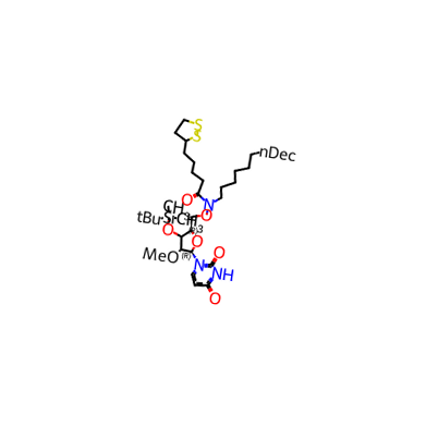 CCCCCCCCCCCCCCCCN(OC[C@H]1O[C@@H](n2ccc(=O)[nH]c2=O)C(OC)C1O[Si](C)(C)C(C)(C)C)C(=O)CCCCC1CCSS1